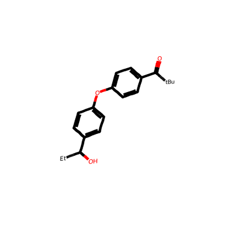 CCC(O)c1ccc(Oc2ccc(C(=O)C(C)(C)C)cc2)cc1